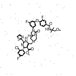 COCC(C)(C)NC(=O)c1ccc(Oc2cc(F)cc(N3C[C@@H]4CN(CC5=C(C(=O)OC)[C@H](c6ccc(F)cc6Cl)N=C(c6nccs6)N5)CCN4C3=O)c2)c(F)c1